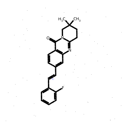 CC1(C)CCc2nc3cc(/C=C/c4ccccc4F)ccc3c(=O)n2C1